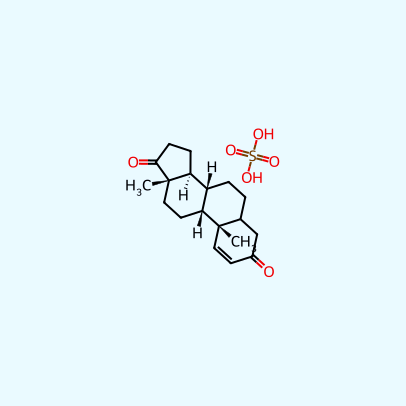 C[C@]12C=CC(=O)CC1CC[C@@H]1[C@H]2CC[C@]2(C)C(=O)CC[C@@H]12.O=S(=O)(O)O